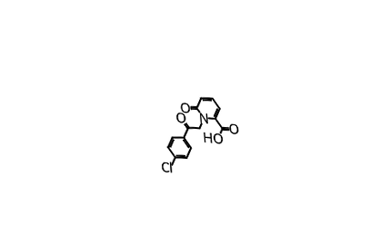 O=C(Cn1c(C(=O)O)cccc1=O)c1ccc(Cl)cc1